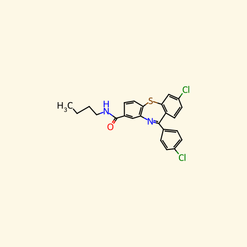 CCCCNC(=O)c1ccc2c(c1)N=C(c1ccc(Cl)cc1)c1ccc(Cl)cc1S2